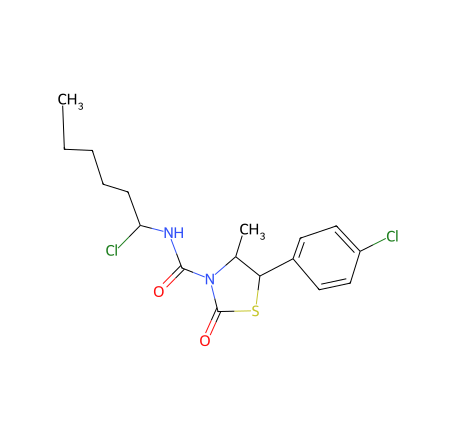 CCCCCC(Cl)NC(=O)N1C(=O)SC(c2ccc(Cl)cc2)C1C